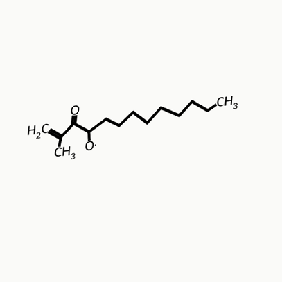 C=C(C)C(=O)C([O])CCCCCCCCC